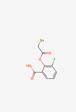 O=C(CS)Oc1c(F)cccc1C(=O)O